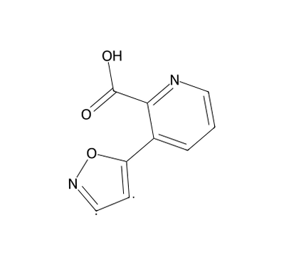 O=C(O)c1ncccc1-c1[c][c]no1